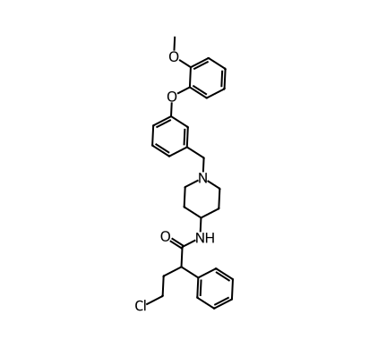 COc1ccccc1Oc1cccc(CN2CCC(NC(=O)C(CCCl)c3ccccc3)CC2)c1